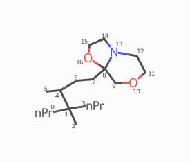 CCCC(C)(CCC)C(C)CCC12COCCN1CCO2